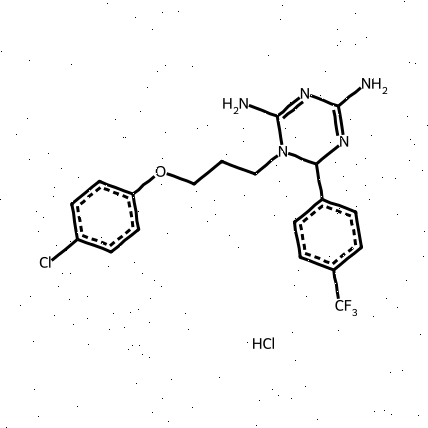 Cl.NC1=NC(c2ccc(C(F)(F)F)cc2)N(CCCOc2ccc(Cl)cc2)C(N)=N1